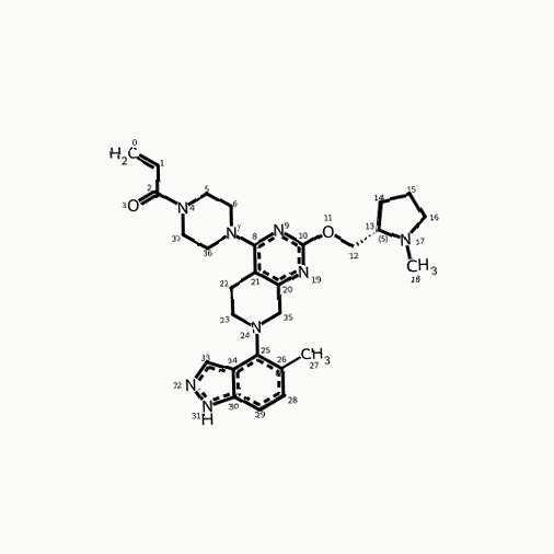 C=CC(=O)N1CCN(c2nc(OC[C@@H]3CCCN3C)nc3c2CCN(c2c(C)ccc4[nH]ncc24)C3)CC1